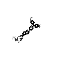 CCN(CC)c1ccc2c(c1)CCN(C1CCN(C(c3ccc(F)cc3)c3ccc(F)cc3)CC1)C2